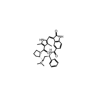 CC[C@@H](NC(=O)c1ccc2c(c1)C(=Cc1[nH]c(C)c(C(=O)N3CCC[C@H]3CN(C)C)c1C)C(=O)N2)c1ccccc1